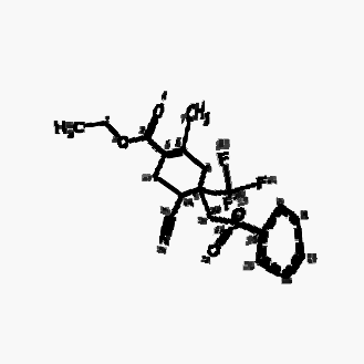 CCOC(=O)C1=C(C)CC(CS(=O)(=O)c2ccccc2)(C(F)(F)F)C(C#N)[CH]1